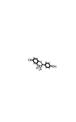 Oc1ccc(C(Cl)Cc2ccc(Cl)cc2Cl)cc1.S